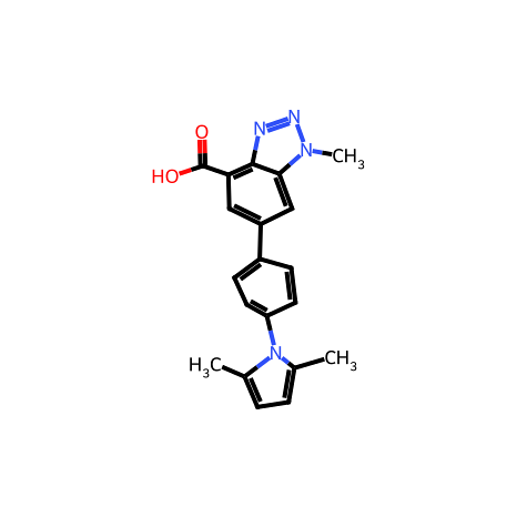 Cc1ccc(C)n1-c1ccc(-c2cc(C(=O)O)c3nnn(C)c3c2)cc1